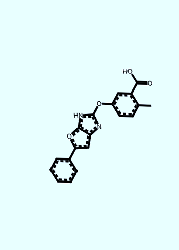 Cc1ccc(Oc2nc3cc(-c4ccccc4)oc3[nH]2)cc1C(=O)O